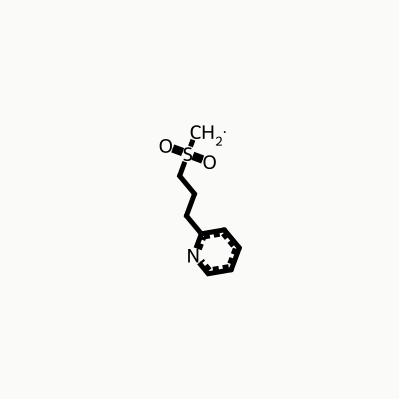 [CH2]S(=O)(=O)CCCc1ccccn1